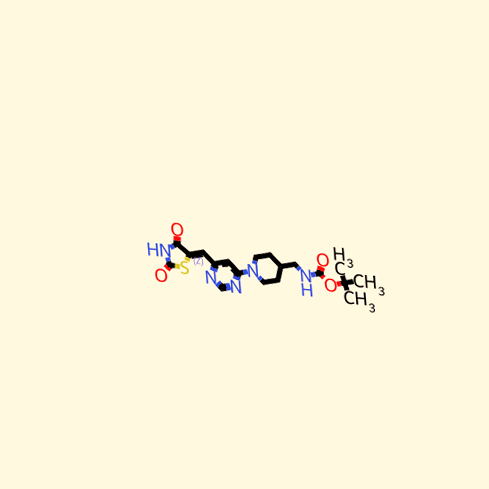 CC(C)(C)OC(=O)NCC1CCN(c2cc(/C=C3\SC(=O)NC3=O)ncn2)CC1